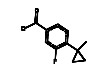 CC1(c2ccc(C(=O)Cl)cc2F)CC1